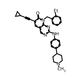 CCc1ccccc1Cn1c(=O)c(C#CC2CC2)cc2cnc(Nc3ccc(C4CCN(C)CC4)cc3)nc21